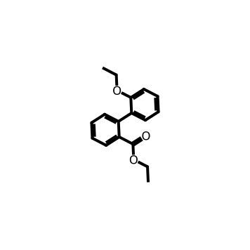 CCOC(=O)c1ccccc1-c1ccccc1OCC